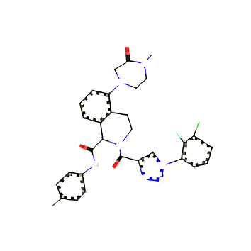 CN1CCN(c2cccc3c2CCN(C(=O)c2cn(-c4cccc(Cl)c4F)nn2)C3C(=O)Nc2ccc(C(=O)O)cc2)CC1=O